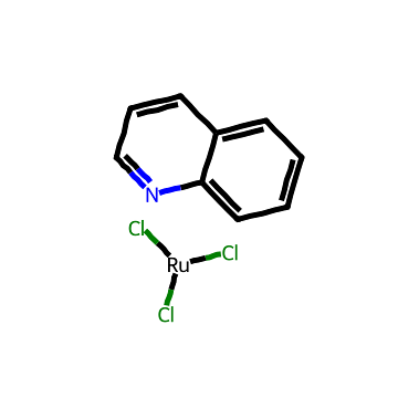 [Cl][Ru]([Cl])[Cl].c1ccc2ncccc2c1